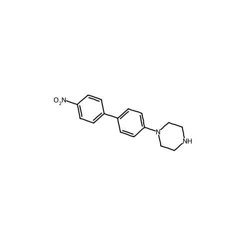 O=[N+]([O-])c1ccc(-c2ccc(N3CCNCC3)cc2)cc1